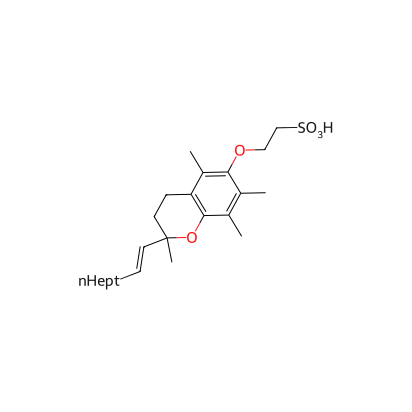 CCCCCCC/C=C/C1(C)CCc2c(C)c(OCCS(=O)(=O)O)c(C)c(C)c2O1